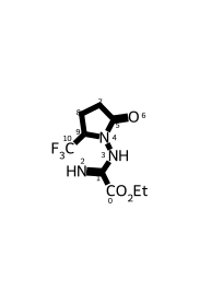 CCOC(=O)C(=N)NN1C(=O)CCC1C(F)(F)F